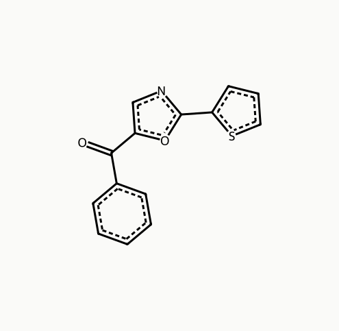 O=C(c1ccccc1)c1cnc(-c2cccs2)o1